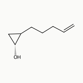 C=CCCCC1C[C@H]1O